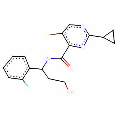 O=C(NC(CCO)c1ccccc1F)c1nc(C2CC2)ncc1Br